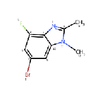 Cc1nc2c(F)cc(Br)cc2n1C